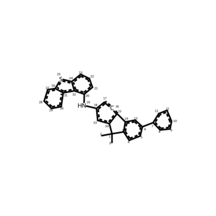 CC1(C)c2ccc(-c3ccccc3)cc2-c2ccc(Nc3cccc4sc5ccccc5c34)cc21